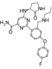 CCCNCc1cc(Oc2ccc(F)cc2)ccc1-c1nc(N[C@H]2CCNC2=O)cc(C(N)=O)n1